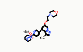 CC(C)(C)OC(=O)N1C2CC1CN(c1ccc(-c3cc(OCCN4CCOCC4)cn4ncc(C#N)c34)cn1)C2